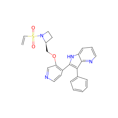 C=CS(=O)(=O)N1CC[C@H]1COc1cnccc1-c1[nH]c2cccnc2c1-c1ccccc1